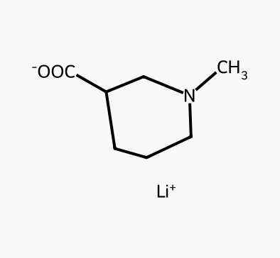 CN1CCCC(C(=O)[O-])C1.[Li+]